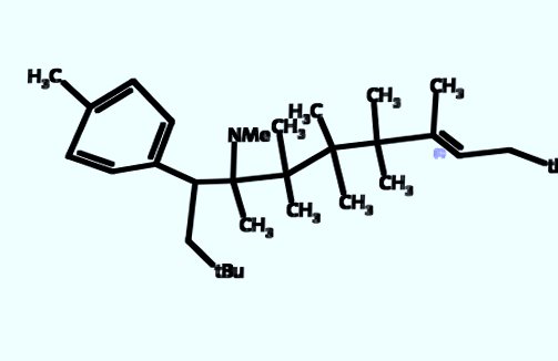 CNC(C)(C(CC(C)(C)C)c1ccc(C)cc1)C(C)(C)C(C)(C)C(C)(C)/C(C)=C/CC(C)(C)C